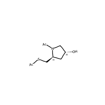 CC(=O)SC[C@@H]1C[C@@H](O)CN1C(C)=O